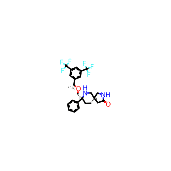 C[C@@H](OC[C@@]1(c2ccccc2)CC[C@@]2(CNC(=O)C2)CN1)c1cc(C(F)(F)F)cc(C(F)(F)F)c1